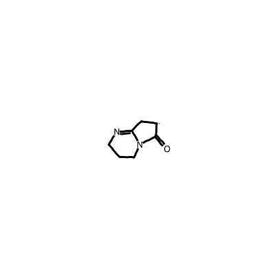 O=C1[CH]CC2=NCCCN12